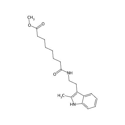 COC(=O)CCCCCCC(=O)NCCc1c(C)[nH]c2ccccc12